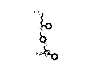 Cc1oc(-c2ccccc2)nc1COc1ccc(CON=C(CCCCC(=O)O)c2ccccc2)cc1